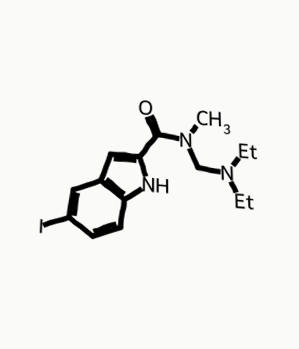 CCN(CC)CN(C)C(=O)c1cc2cc(I)ccc2[nH]1